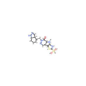 Cn1c2nc(S(C)(=O)=O)sc2c2cnn(Cc3cccc4[nH]ncc34)c(=O)c21